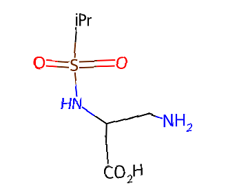 CC(C)S(=O)(=O)NC(CN)C(=O)O